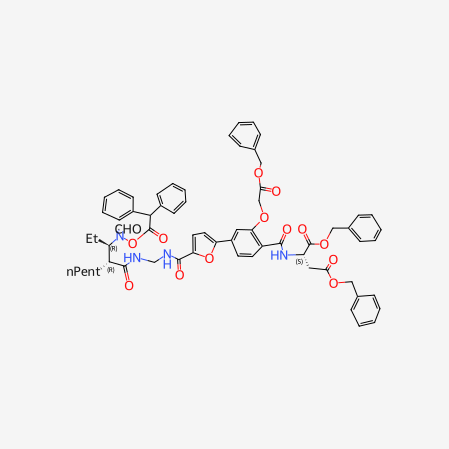 CCCCC[C@@H](C(=O)NCNC(=O)c1ccc(-c2ccc(C(=O)N[C@@H](CC(=O)OCc3ccccc3)C(=O)OCc3ccccc3)c(OCC(=O)OCc3ccccc3)c2)o1)[C@@H](CC)N(C=O)OC(=O)C(c1ccccc1)c1ccccc1